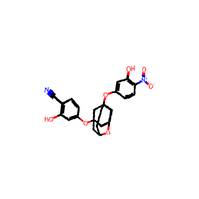 N#Cc1ccc(OC23CC4CC(Oc5ccc([N+](=O)[O-])c(O)c5)(CC(C2)O4)C3)cc1O